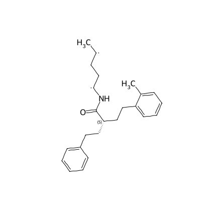 C[CH]CC[CH]NC(=O)[C@@H](CCc1ccccc1)CCc1ccccc1C